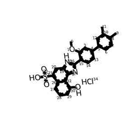 COc1cc(-c2ccc(C)c(C)c2)ccc1-c1nc2c(cc(S(=O)(=O)O)c3cccc(O)c32)[nH]1.Cl